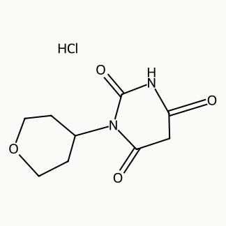 Cl.O=C1CC(=O)N(C2CCOCC2)C(=O)N1